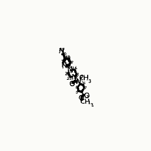 COC(=O)[C@H]1CC[C@H](N(C)C(=O)N2CCN(c3ccc(C#N)cn3)CC2)CC1